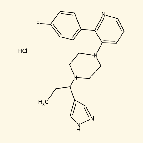 CCC(c1cn[nH]c1)N1CCN(c2cccnc2-c2ccc(F)cc2)CC1.Cl